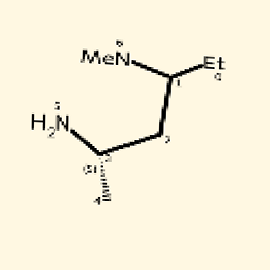 CCC(C[C@H](C)N)NC